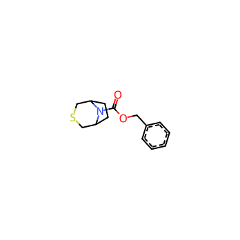 O=C(OCc1ccccc1)N1C2CCC1CSC2